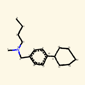 CCCCN(C)Cc1ccc(C2CCCCC2)cc1